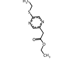 CCOC(=O)Cc1cnc(SCC)cn1